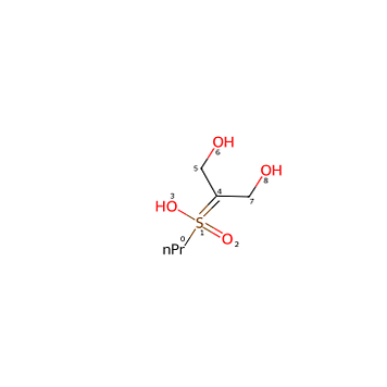 CCCS(=O)(O)=C(CO)CO